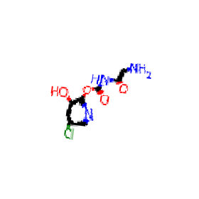 NCC(=O)NC(=O)Oc1ncc(Cl)cc1O